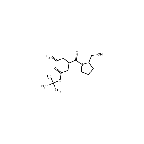 C=CCC(CC(=O)OC(C)(C)C)C(=O)N1CCCC1CO